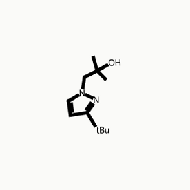 CC(C)(O)Cn1ccc(C(C)(C)C)n1